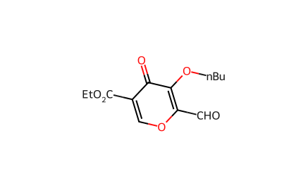 CCCCOc1c(C=O)occ(C(=O)OCC)c1=O